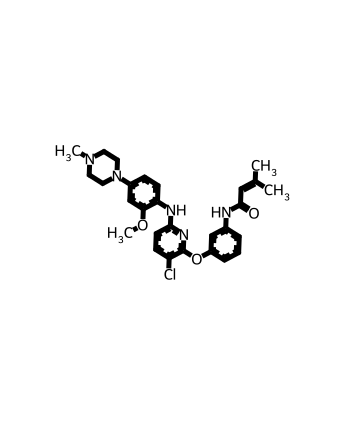 COc1cc(N2CCN(C)CC2)ccc1Nc1ccc(Cl)c(Oc2cccc(NC(=O)C=C(C)C)c2)n1